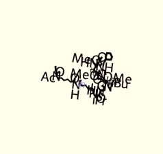 C=CC(=O)N(CCCCCC(=O)N/C(C)=C/CCC(C)CN(C)C(C(=O)NCC(=O)N(C)C([C@@H](C)CC)[C@@H](CC(=O)N1CCC[C@H]1[C@H](OC)[C@@H](C)C(=N)N[C@@H](Cc1ccccc1)C(=O)OC)OC)C(C)C)C(C)=O